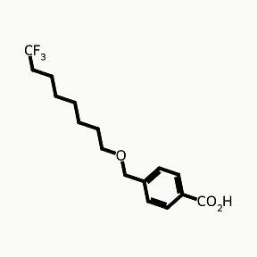 O=C(O)c1ccc(COCCCCCCCC(F)(F)F)cc1